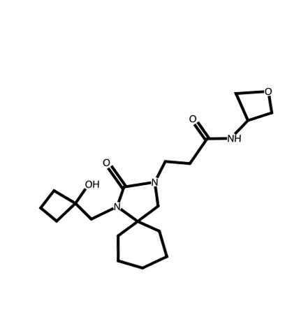 O=C(CCN1CC2(CCCCC2)N(CC2(O)CCC2)C1=O)NC1COC1